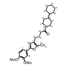 COc1ccc(-c2nc(CSCC(=O)N3CCC(C4CCCCC4)CC3)c(C)o2)cc1OC